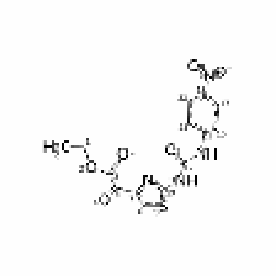 CCOC(=O)C(=O)c1csc(NC(=O)Nc2ccc([N+](=O)[O-])cc2)n1